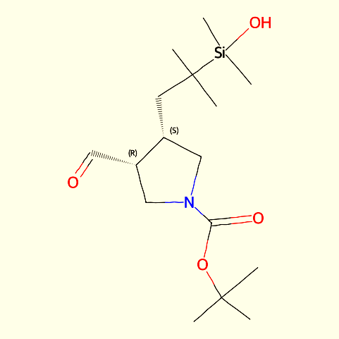 CC(C)(C)OC(=O)N1C[C@@H](CC(C)(C)[Si](C)(C)O)[C@@H](C=O)C1